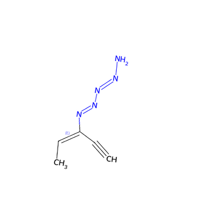 C#C/C(=C\C)N=NN=NN